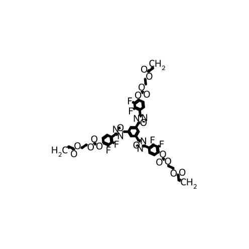 C=CC(=O)OCCOC(=O)Oc1ccc(-c2noc(-c3cc(-c4nc(-c5ccc(OC(=O)OCCOC(=O)C=C)c(F)c5F)no4)cc(-c4nc(-c5ccc(OC(=O)OCCOC(=O)C=C)c(F)c5F)no4)c3)n2)c(F)c1F